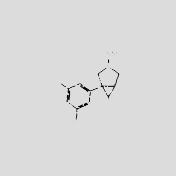 CNN1CC2CC2(c2cc(F)cc(F)c2)C1